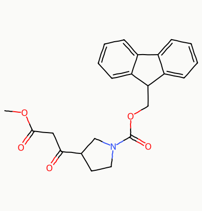 COC(=O)CC(=O)C1CCN(C(=O)OCC2c3ccccc3-c3ccccc32)C1